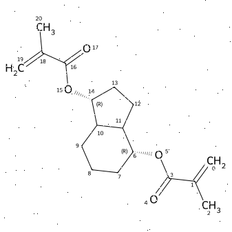 C=C(C)C(=O)O[C@@H]1CCCC2C1CC[C@H]2OC(=O)C(=C)C